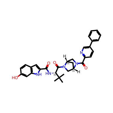 CC(C)(C)[C@H](NC(=O)c1cc2ccc(O)cc2[nH]1)C(=O)N1C[C@@H]2C[C@H]1CN2C(=O)c1ccc(-c2ccccc2)cn1